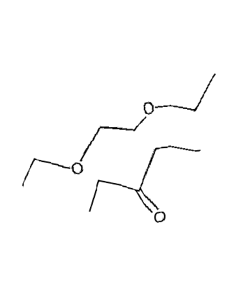 CCC(=O)CC.CCOCCOCC